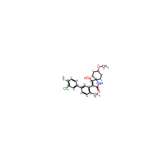 COC1CCC2(CC1)NC(=O)C(c1cc(-c3ccc(F)c(Cl)c3)ccc1C)=C2O